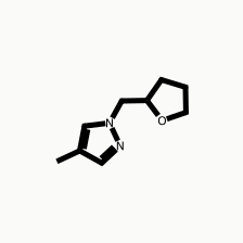 Cc1cnn(CC2CCCO2)c1